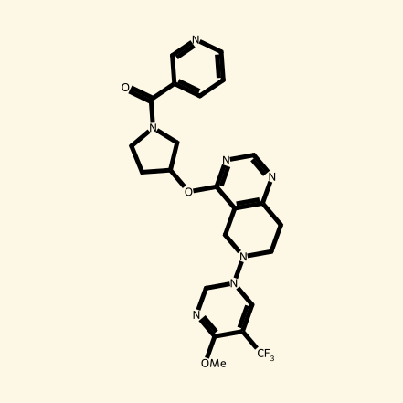 COC1=NCN(N2CCc3ncnc(OC4CCN(C(=O)c5cccnc5)C4)c3C2)C=C1C(F)(F)F